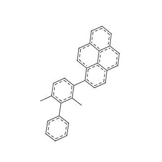 Cc1ccc(-c2ccc3ccc4cccc5ccc2c3c45)c(C)c1-c1ccccc1